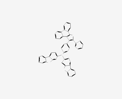 c1ccc(-c2sc3c4ccccc4c4ccccc4c3c2-c2ccc(N(c3ccc4c(c3)oc3ccccc34)c3ccc4c(c3)oc3ccccc34)cc2)cc1